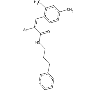 CC(=O)/C(=C/c1ccc(C)cc1C)C(=O)NCCCc1ccccc1